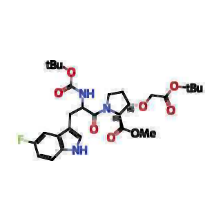 COC(=O)[C@@H]1[C@@H](OCC(=O)OC(C)(C)C)CCN1C(=O)C(Cc1c[nH]c2ccc(F)cc12)NC(=O)OC(C)(C)C